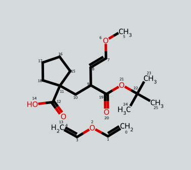 C=COC=C.COC=CC(CC1(C(=O)O)CCCC1)C(=O)OC(C)(C)C